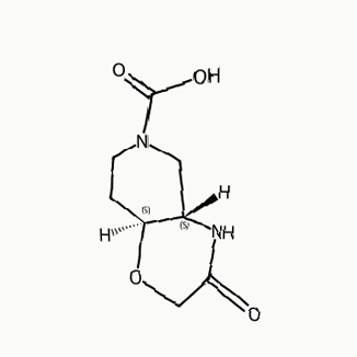 O=C1CO[C@H]2CCN(C(=O)O)C[C@@H]2N1